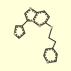 c1cc(CCOc2ccc3ncc(-c4ccsc4)n3n2)ccn1